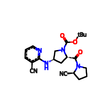 CC(C)(C)OC(=O)N1C[C@@H](Nc2ncccc2C#N)C[C@H]1C(=O)N1CCC[C@H]1C#N